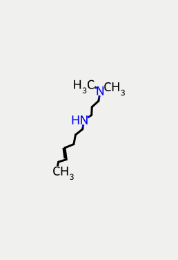 CCC=CCCCNCCCN(C)C